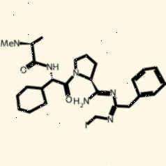 CN[C@@H](C)C(=O)N[C@H](C(=O)N1CCC[C@H]1/C(N)=N/C(Cc1ccccc1)=N\CI)C1CCCCC1